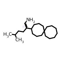 CC(C)CC/C(=C/N)C1CCCC2(CCCCCCC2)CCC1